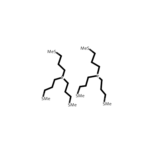 CSCC[CH2][Ir]([CH2]CCSC)[CH2]CCSC.CSCC[CH2][Ir]([CH2]CCSC)[CH2]CCSC